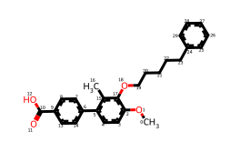 COc1ccc(-c2ccc(C(=O)O)cc2)c(C)c1OCCCCCc1ccccc1